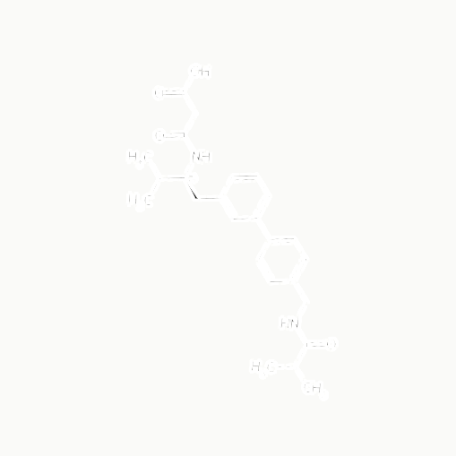 CC(C)C(=O)NCc1ccc(-c2cccc(C[C@H](NC(=O)CC(=O)O)C(C)C)c2)cc1